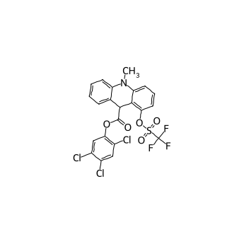 CN1c2ccccc2C(C(=O)Oc2cc(Cl)c(Cl)cc2Cl)c2c(OS(=O)(=O)C(F)(F)F)cccc21